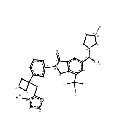 C[C@@H](c1cc2c(c(C(F)(F)F)c1)CN(c1cccc(C3(Cc4nncn4C)COC3)c1)C2=O)N1CC[C@H](F)C1